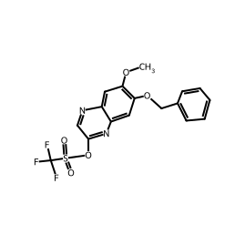 COc1cc2ncc(OS(=O)(=O)C(F)(F)F)nc2cc1OCc1ccccc1